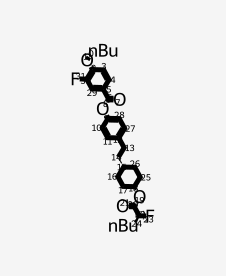 CCCCOc1ccc(C(=O)Oc2ccc(CC[C@H]3CC[C@H](OC(=O)[C@@H](F)CCCC)CC3)cc2)cc1F